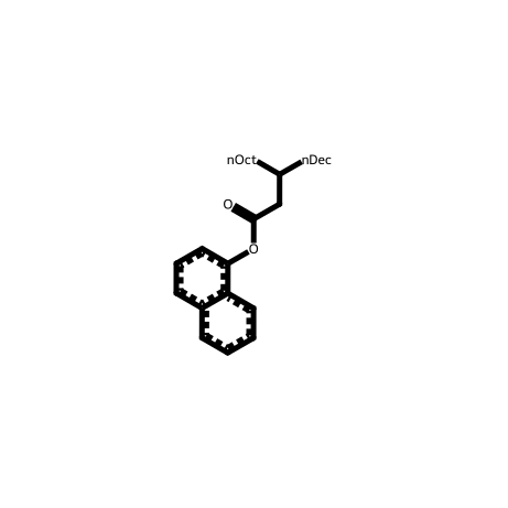 CCCCCCCCCCC(CCCCCCCC)CC(=O)Oc1cccc2ccccc12